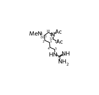 CN[C@@H](CCCCNC(=N)N)CN(CC(C)=O)C(C)=O